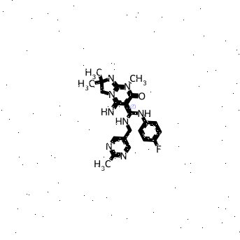 Cc1ncc(CN/C(Nc2ccc(F)cc2)=c2/c(=O)n(C)c3n(c2=N)CC(C)(C)N=3)cn1